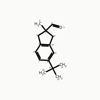 CC1(C=O)Cc2ccc(C(C)(C)C)cc2C1